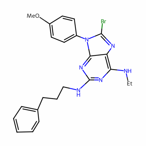 CCNc1nc(NCCCc2ccccc2)nc2c1nc(Br)n2-c1ccc(OC)cc1